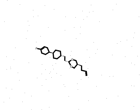 C=CCC[C@H]1CO[C@H](CC[C@H]2CC[C@H](C3CC=C(F)CC3)CC2)OC1